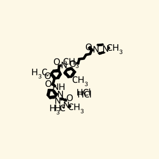 COc1cc(C(=O)N(C)c2ccc(C)cc2OCCCCCC(=O)N2CCN(C)CC2)ccc1C(=O)Nc1cccc2[nH]c(C(=O)N(C)C)nc12.Cl.Cl